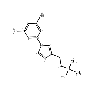 CC(C)(C)[Si](C)(C)OCc1cn(-c2cc(N)cc(C(F)(F)F)c2)cn1